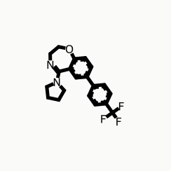 FC(F)(F)c1ccc(-c2ccc3c(c2)C(N2CCCC2)=NCCO3)cc1